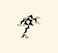 CC(C)n1cnc2[nH]c(=O)n(CCCO[PH](=O)O)c(=O)c21.CCCC